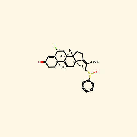 COC(C[S+]([O-])c1ccccc1)=C1CC[C@H]2[C@@H]3C[C@H](F)C4=CC(=O)CC[C@]4(C)C3=CC[C@]12C